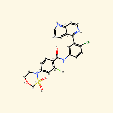 O=C(Nc1ccc(Cl)c(-c2nccc3ncccc23)c1)c1ccc(N2CCOCS2(=O)=O)cc1F